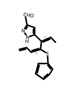 C=C/C=C(Sc1ccccc1)\C(=C/C)c1cc(C=O)n[nH]1